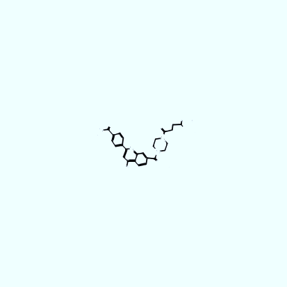 C=C(N)c1ccc(-c2cc(Cl)c3ccc(C(=C)N4CCN(C(=C)CCC(C)C)CC4)cc3n2)cc1